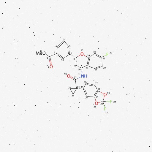 COC(=O)c1cccc([C@H]2C[C@@H](NC(=O)C3(c4ccc5c(c4)OC(F)(F)O5)CC3)c3ccc(F)cc3O2)c1